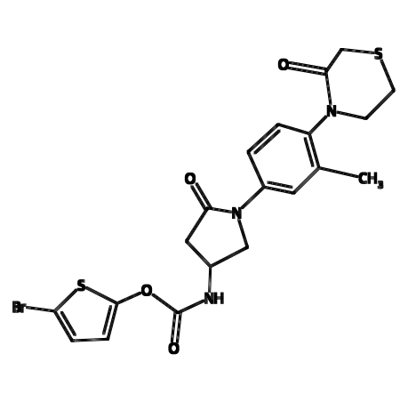 Cc1cc(N2CC(NC(=O)Oc3ccc(Br)s3)CC2=O)ccc1N1CCSCC1=O